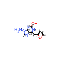 Nn1cnc2c(Cc3ccco3)nc(O)nc21